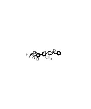 Cc1cc(-c2ccc(C(=O)N(C)C)c(Cl)c2)cnc1N1CCN(C(=O)Cc2ccccc2)CC1